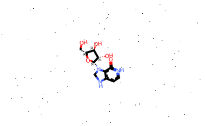 O=c1[nH]ccc2c1N([C@@H]1O[C@H](CO)[C@@H](O)[C@@H]1O)CN2